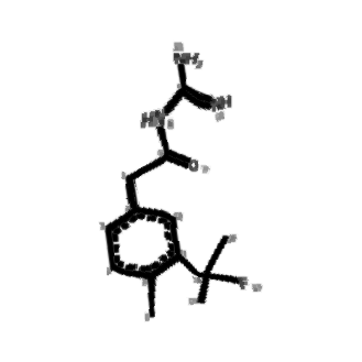 Cc1ccc(CC(=O)NC(=N)N)cc1C(C)(C)F